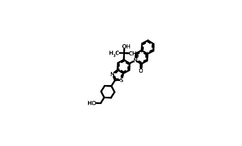 CC(C)(O)c1cc2nc(C3CCC(CO)CC3)sc2cc1-n1cc2ccccc2cc1=O